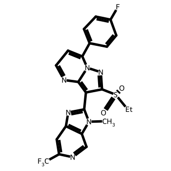 CCS(=O)(=O)c1nn2c(-c3ccc(F)cc3)ccnc2c1-c1nc2cc(C(F)(F)F)ncc2n1C